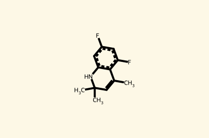 CC1=CC(C)(C)Nc2cc(F)cc(F)c21